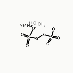 O.O.O=S(=O)([O-])SSS(=O)(=O)[O-].[Na+].[Na+]